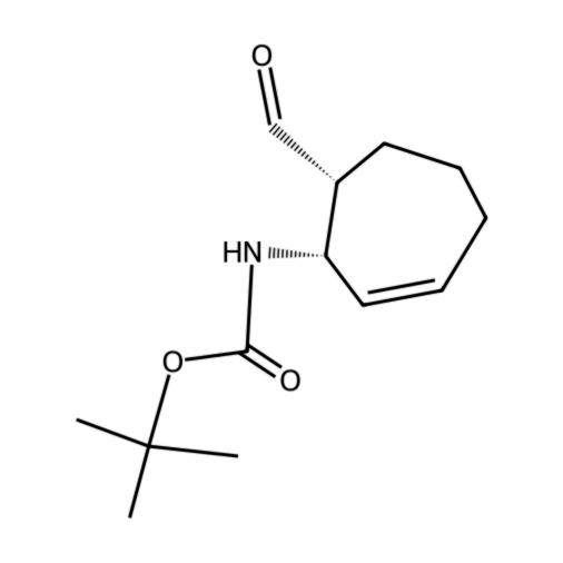 CC(C)(C)OC(=O)N[C@H]1C=CCCC[C@H]1C=O